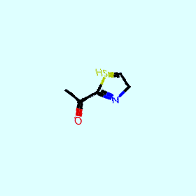 CC(=O)C1=NCC=[SH]1